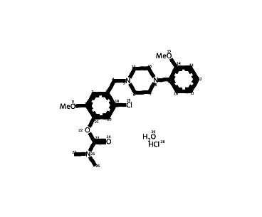 COc1cc(CN2CCN(c3ccccc3OC)CC2)c(Cl)cc1OC(=O)N(C)C.Cl.O